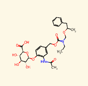 CCN(COC(C)Cc1ccccc1)C(=O)OCc1ccc(O[C@@H]2O[C@H](C(=O)O)[C@@H](O)[C@H](O)[C@H]2O)c(NC(C)=O)c1